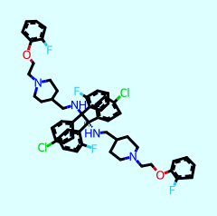 Fc1ccccc1OCCN1CCC(CNC(c2ccc(Cl)cc2)(c2ccccc2F)[C@@](NCC2CCN(CCOc3ccccc3F)CC2)(c2ccc(Cl)cc2)c2ccccc2F)CC1